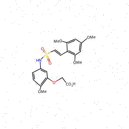 COc1cc(OC)c(C=CS(=O)(=O)Nc2ccc(OC)c(OCC(=O)O)c2)c(OC)c1